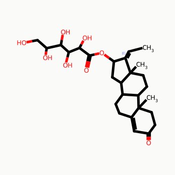 C/C=C1/C(OC(=O)C(O)C(O)C(O)C(O)CO)CC2C3CCC4=CC(=O)CCC4(C)C3CCC12C